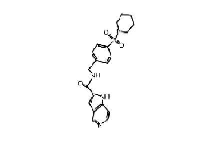 O=C(NCc1ccc(S(=O)(=O)N2CCCCC2)cc1)c1cc2cnccc2[nH]1